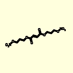 O=C(/C=C/C(=O)OCCCO[N+](=O)[O-])OCCCO[N+](=O)[O-]